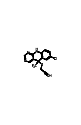 C#CCOC1(C(F)(F)F)c2cc(Cl)ccc2Nc2ncncc21